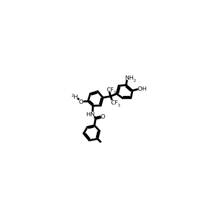 [2H]Oc1ccc(C(c2ccc(O)c(N)c2)(C(F)(F)F)C(F)(F)F)cc1NC(=O)c1cccc(C)c1